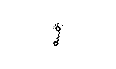 COc1cc(CCC[CH]Cc2ccccc2)cc(OC)c1OC